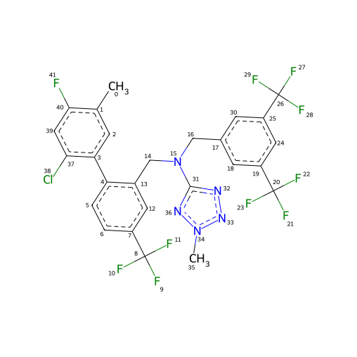 Cc1cc(-c2ccc(C(F)(F)F)cc2CN(Cc2cc(C(F)(F)F)cc(C(F)(F)F)c2)c2nnn(C)n2)c(Cl)cc1F